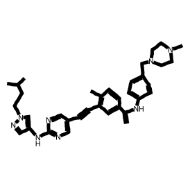 C=C(Nc1ccc(CN2CCN(C)CC2)cc1)c1ccc(C)c(C#Cc2cnc(Nc3cnn(CCC(C)C)c3)nc2)c1